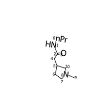 CCCNC(=O)CC1CCN(C)C1